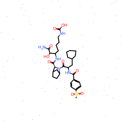 CS(=O)(=O)c1ccc(C(=O)NC(CC2CCCCC2)C(=O)N2C3CCC(C3)[C@H]2C(=O)NC(CCCCNC(=O)O)C(O)C(N)=O)cc1